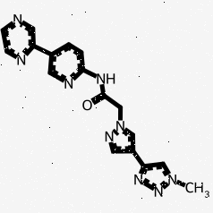 Cn1cc(-c2cnn(CC(=O)Nc3ccc(-c4cnccn4)cn3)c2)nn1